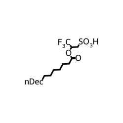 CCCCCCCCCCCCCCCCC(=O)OC(CS(=O)(=O)O)C(F)(F)F